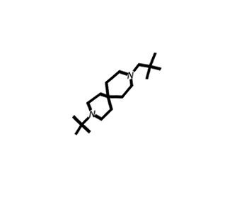 CC(C)(C)CN1CCC2(CC1)CCN(C(C)(C)C)CC2